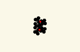 c1ccc(N(c2ccccc2)c2cc3c4c(c2)N(c2ccc(-n5c6ccccc6c6ccccc65)cc2)c2cc([Si](c5ccccc5)(c5ccccc5)c5ccccc5)ccc2B4c2ccc([Si](c4ccccc4)(c4ccccc4)c4ccccc4)cc2N3c2ccc(-n3c4ccccc4c4ccccc43)cc2)cc1